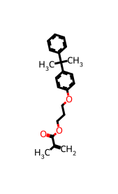 C=C(C)C(=O)OCCCOc1ccc(C(C)(C)c2ccccc2)cc1